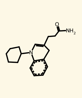 NC(=O)CCC1=CN(C2CCCCC2)c2ccccc2C1